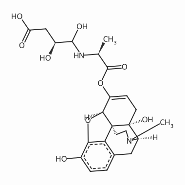 C[C@H](NC(O)[C@@H](O)CC(=O)O)C(=O)OC1=CC[C@@]2(O)[C@H]3Cc4ccc(O)c5c4[C@@]2(CCN3C)[C@H]1O5